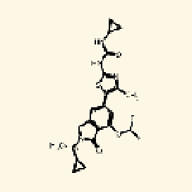 Cc1nc(NC(=O)NC2CC2)sc1-c1cc2c(c(OC(F)F)c1)C(=O)N([C@@H](C)C1CC1)C2